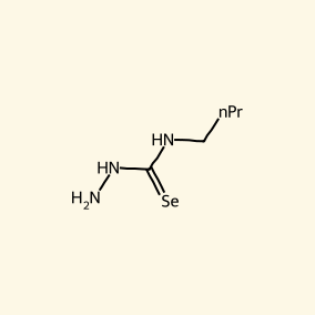 CCCCNC(=[Se])NN